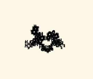 CN[C@@H](C)C(=O)N[C@@H](CCCCNC(=O)c1cccc(C(=O)NCCCC[C@H](NC(=O)[C@H](C)N(C)C)C(=O)N2CCCC[C@H]2C(=O)N[C@@H]2CCCc3ccccc32)c1)C(=O)N1CCCC[C@H]1C(=O)N[C@@H]1CCCc2ccccc21